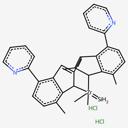 CC1=Cc2c(-c3ccccn3)ccc(C)c2[CH]1[Zr]([CH3])([CH3])(=[SiH2])[CH]1C(C)=Cc2c(-c3ccccn3)ccc(C)c21.Cl.Cl